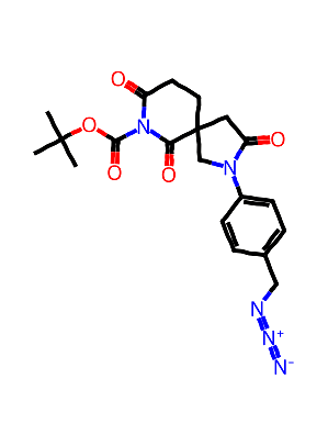 CC(C)(C)OC(=O)N1C(=O)CCC2(CC(=O)N(c3ccc(CN=[N+]=[N-])cc3)C2)C1=O